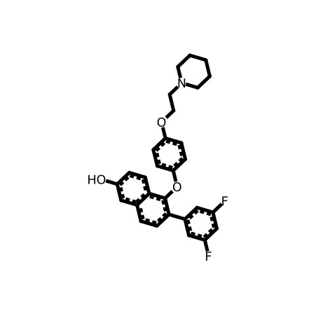 Oc1ccc2c(Oc3ccc(OCCN4CCCCC4)cc3)c(-c3cc(F)cc(F)c3)ccc2c1